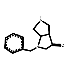 O=C1CN(Cc2ccccc2)C2CNCC12